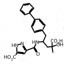 CC(O)(CC(Cc1ccc(-c2ccccc2)cc1)NC(=O)c1cc(C(=O)O)[nH]n1)C(=O)O